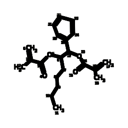 C=C(C)C(=O)OC(CCCCC)C(OC(=O)C(=C)C)c1ccccc1